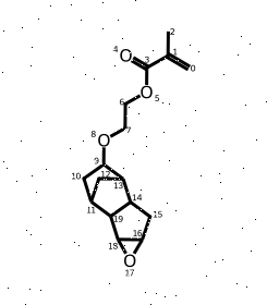 C=C(C)C(=O)OCCOC1CC2CC1C1CC3OC3C21